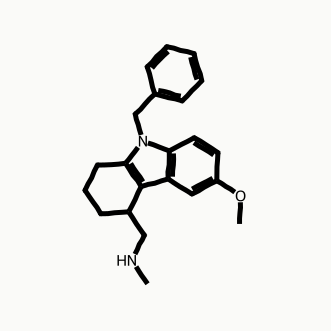 CNCC1CCCc2c1c1cc(OC)ccc1n2Cc1ccccc1